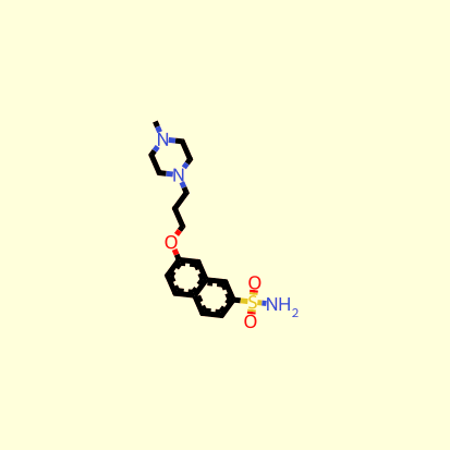 CN1CCN(CCCOc2ccc3ccc(S(N)(=O)=O)cc3c2)CC1